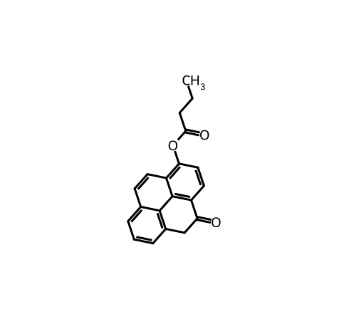 CCCC(=O)Oc1ccc2c3c1ccc1cccc(c13)CC2=O